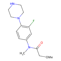 COCC(=O)N(C)c1ccc(N2CCNCC2)c(F)c1